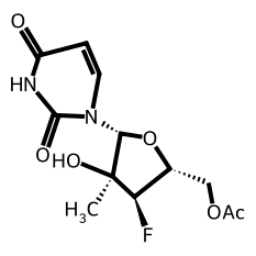 CC(=O)OC[C@H]1O[C@@H](n2ccc(=O)[nH]c2=O)[C@](C)(O)[C@@H]1F